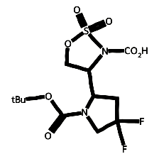 CC(C)(C)OC(=O)N1CC(F)(F)CC1C1COS(=O)(=O)N1C(=O)O